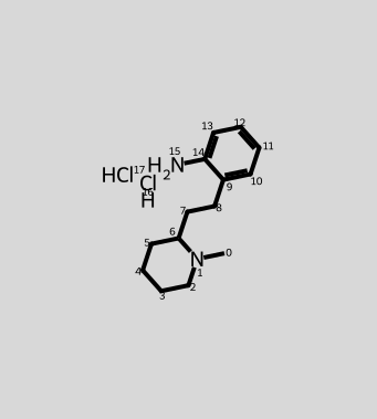 CN1CCCCC1CCc1ccccc1N.Cl.Cl